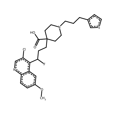 COc1ccc2ncc(Cl)c(C(F)CCC3(C(=O)O)CCN(CCCc4ccsc4)CC3)c2c1